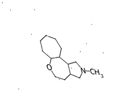 CN1CC2CCOC3CCCCCC3C2C1